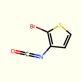 O=C=Nc1ccsc1Br